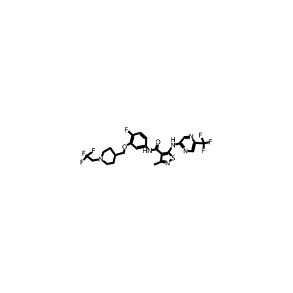 Cc1nsc(Nc2cnc(C(F)(F)F)cn2)c1C(=O)Nc1ccc(F)c(OCC2CCN(CC(F)(F)F)CC2)c1